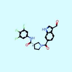 O=Cc1c[nH]c2cc(C(=O)N3CC[C@H](C(=O)Nc4cc(F)c(F)c(F)c4)C3)ccc12